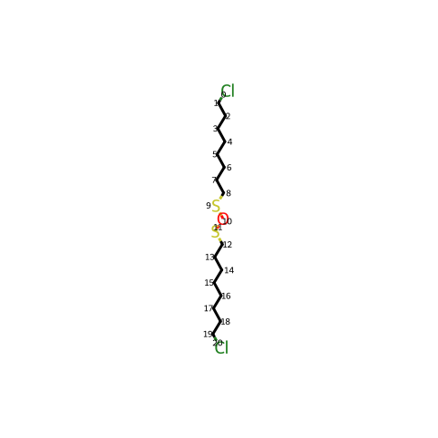 ClCCCCCCCCSOSCCCCCCCCCl